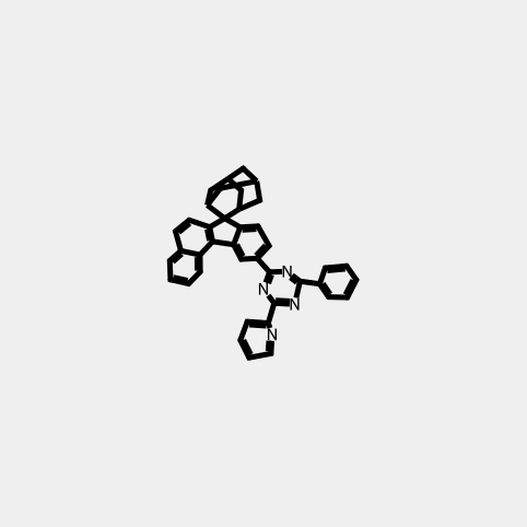 c1ccc(-c2nc(-c3ccc4c(c3)-c3c(ccc5ccccc35)C43C4CC5CC(C4)CC3C5)nc(-c3ccccn3)n2)cc1